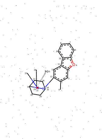 Cc1cc2oc3ccccc3c2cc1N1C2CCC(CC2)N(C)[C@@H]1C